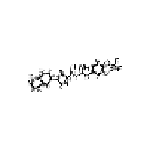 NC(CNc1ncc(-c2ccc3cnccc3c2)s1)Cc1ccc(OC(F)(F)F)cc1